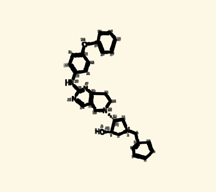 O[C@@H]1CN(Cc2ccccc2)C[C@H]1N1CCc2nc(Nc3ccc(Oc4ccccc4)cc3)ncc2C1